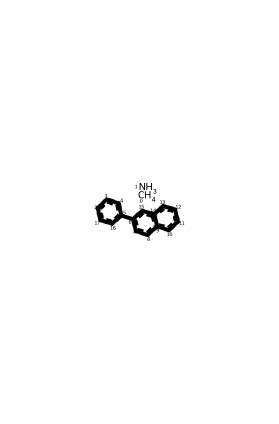 C.N.c1ccc(-c2ccc3ccccc3c2)cc1